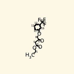 CCOC(=O)CC(=O)COc1cccc(C(F)(F)F)c1